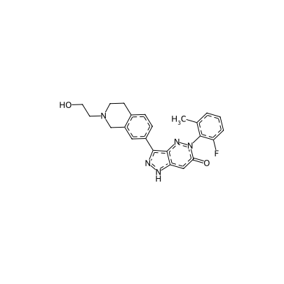 Cc1cccc(F)c1-n1nc2c(-c3ccc4c(c3)CN(CCO)CC4)n[nH]c2cc1=O